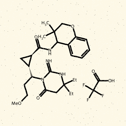 CCC1(CC)CC(=O)N(C(CCOC)[C@@H]2C[C@H]2C(=O)NC2c3ccccc3OCC2(C)C)C(=N)N1.O=C(O)C(F)(F)F